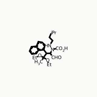 CCOC(C)(OCC)C(c1cccc2ccccc12)C(C=O)N(NCCC(C)C)C(=O)O